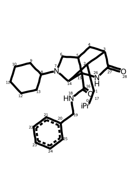 CC(C)CC1C2CC3CN(C4CCCCC4)C1C3(C(=O)NCc1ccccc1)NC2=O